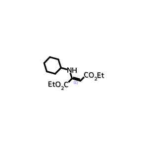 CCOC(=O)/C=C(\NC1CCCCC1)C(=O)OCC